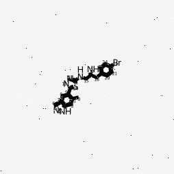 Cc1cc2[nH]ncc2cc1-c1nnc(NCC(N)Cc2ccc(Br)cc2)s1